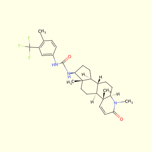 Cc1ccc(NC(=O)N[C@H]2CC[C@H]3[C@@H]4CC[C@H]5N(C)C(=O)C=C[C@]5(C)[C@H]4CC[C@]23C)cc1C(F)(F)F